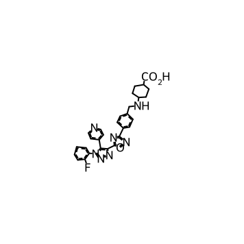 O=C(O)C1CCC(NCc2ccc(-c3noc(-c4nnn(-c5ccccc5F)c4-c4ccncc4)n3)cc2)CC1